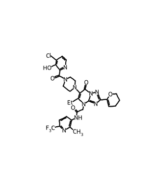 CCc1c(N2CCN(C(=O)c3nccc(Cl)c3O)CC2)c(=O)n2nc(C3=CCCCO3)nc2n1CC(=O)Nc1ccc(C(F)(F)F)nc1C